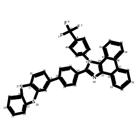 FC(F)(F)c1ccc(-n2c(-c3ccc(-c4ccc5c(c4)Sc4ccccc4S5)cc3)nc3c4ccccc4c4ccccc4c32)cc1